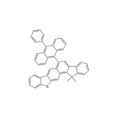 CC1(C)c2ccccc2-c2cc(-c3c4ccccc4c(-c4ccccc4)c4ccccc34)c3cc4c(cc3c21)sc1ccccc14